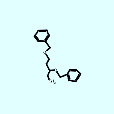 [CH2]CC(CCOCc1ccccc1)OCc1ccccc1